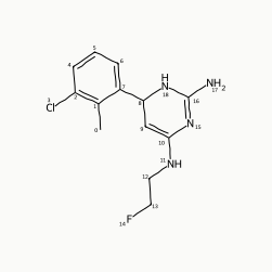 Cc1c(Cl)cccc1C1C=C(NCCF)N=C(N)N1